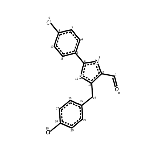 O=Cc1nc(-c2ccc(Cl)cc2)sc1Cc1ccc(Cl)cc1